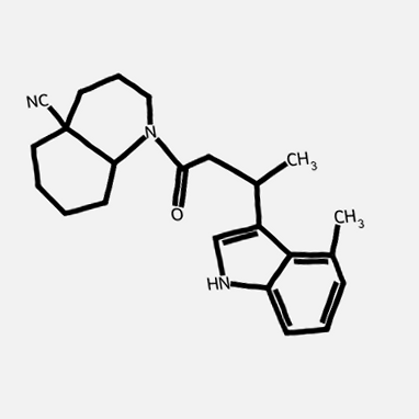 Cc1cccc2[nH]cc(C(C)CC(=O)N3CCCC4(C#N)CCCCC34)c12